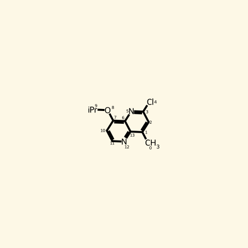 Cc1cc(Cl)nc2c(OC(C)C)ccnc12